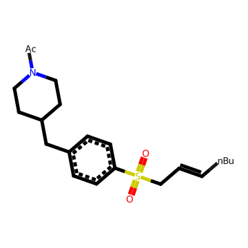 CCCCC=CCS(=O)(=O)c1ccc(CC2CCN(C(C)=O)CC2)cc1